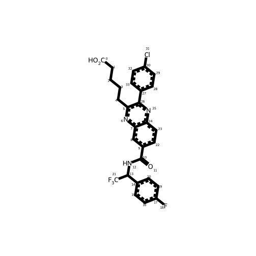 O=C(O)CCCCc1nc2cc(C(=O)NC(c3ccc(F)cc3)C(F)(F)F)ccc2nc1-c1ccc(Cl)cc1